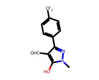 Cn1nc(-c2ccc(C(F)(F)F)cc2)c(C=O)c1O